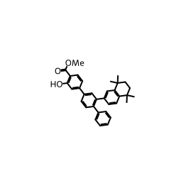 COC(=O)c1ccc(-c2ccc(-c3ccccc3)c(-c3ccc4c(c3)C(C)(C)CCC4(C)C)c2)cc1O